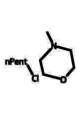 CCCCCCl.CN1CCOCC1